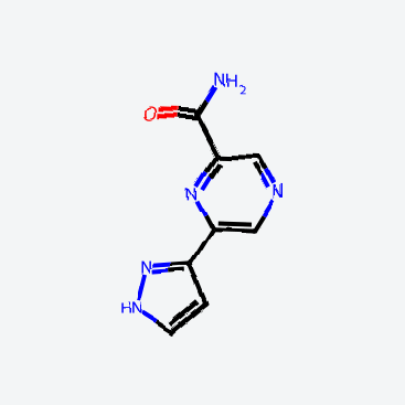 NC(=O)c1cncc(-c2cc[nH]n2)n1